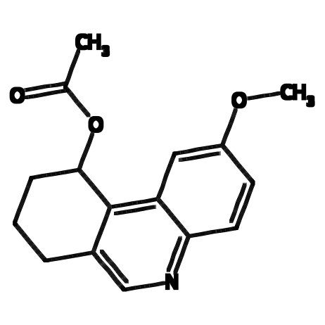 COc1ccc2ncc3c(c2c1)C(OC(C)=O)CCC3